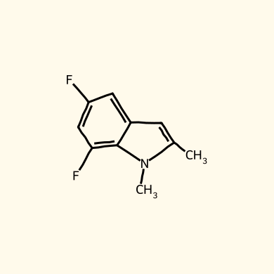 Cc1cc2cc(F)cc(F)c2n1C